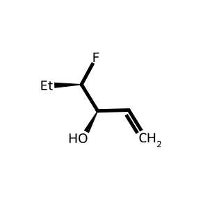 C=C[C@@H](O)[C@H](F)CC